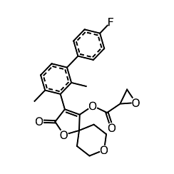 Cc1ccc(-c2ccc(F)cc2)c(C)c1C1=C(OC(=O)C2CO2)C2(CCOCC2)OC1=O